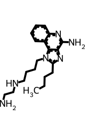 CCCCc1nc2c(N)nc3ccccc3c2n1CCCCNCCN